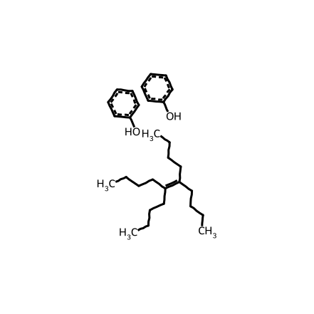 CCCCC(CCCC)=C(CCCC)CCCC.Oc1ccccc1.Oc1ccccc1